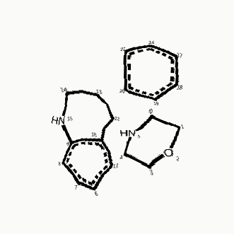 C1COCCN1.c1ccc2c(c1)CCCN2.c1ccccc1